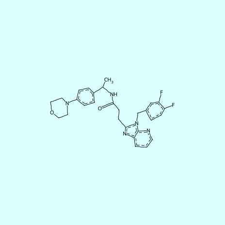 CC(NC(=O)CCc1nc2cccnc2n1Cc1ccc(F)c(F)c1)c1ccc(N2CCOCC2)cc1